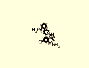 CC1OC2(CCN(c3nnc4n3-c3ccc(Cl)cc3CN(C)C4)CC2)C2C=CC=CC12